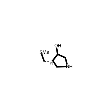 CSC[C@H]1CNCC1O